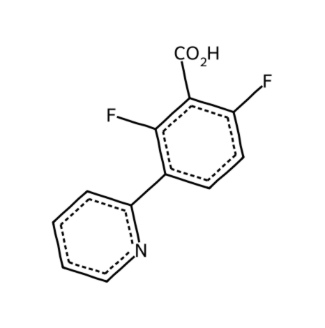 O=C(O)c1c(F)ccc(-c2ccccn2)c1F